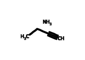 C#CCC.N